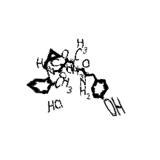 Cc1ccccc1N(CC1CC1)C(=O)C(C)(C)C(=O)[C@H](C)NC(=O)[C@@H](N)Cc1ccc(O)cc1.Cl